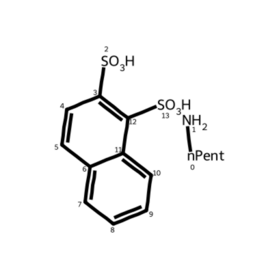 CCCCCN.O=S(=O)(O)c1ccc2ccccc2c1S(=O)(=O)O